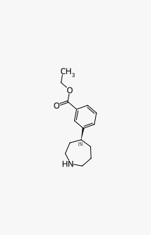 CCOC(=O)c1cccc([C@H]2CCCNCC2)c1